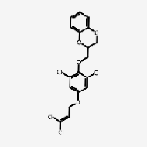 ClC(Cl)=CCOc1cc(Cl)c(OCC2COc3ccccc3O2)c(Cl)c1